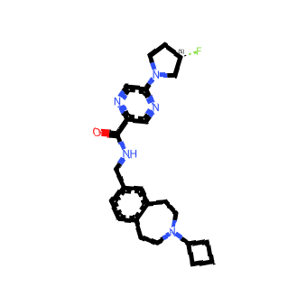 O=C(NCc1ccc2c(c1)CCN(C1CCC1)CC2)c1cnc(N2CC[C@H](F)C2)cn1